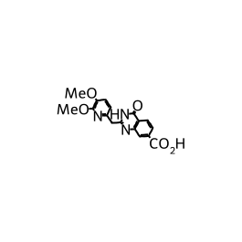 COc1ccc(Cc2nc3cc(C(=O)O)ccc3c(=O)[nH]2)nc1OC